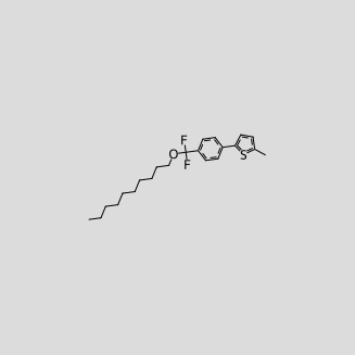 CCCCCCCCCCOC(F)(F)c1ccc(-c2ccc(C)s2)cc1